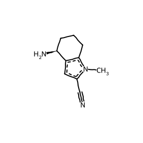 Cn1c(C#N)cc2c1CCC[C@@H]2N